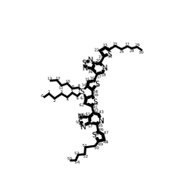 CCCCCCCS1(CCCCCC)c2cc(-c3cnc(-c4ccc(CCCCCC)s4)c4nsnc34)sc2-c2sc(-c3cnc(-c4ccc(CCCCCC)s4)c4nsnc34)cc21